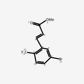 COC(=O)/C=C/c1cc(Br)ccc1C(F)(F)F